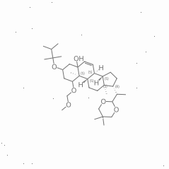 COCOC1CC(OC(C)(C)C(C)C)CC2(O)C=C[C@H]3[C@@H]4CC[C@H](C(C)C5OCC(C)(C)CO5)[C@@]4(C)CC[C@@H]3[C@@]12C